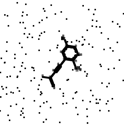 CC(=O)C#Cc1cc(Br)cnc1N